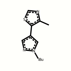 CCC(C)n1cc(-c2scnc2C)cn1